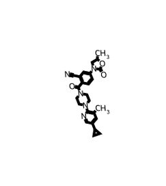 Cc1cc(C2CC2)cnc1N1CCN(C(=O)c2ccc(N3CC(C)OC3=O)cc2C#N)CC1